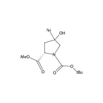 [2H]C1(O)C[C@@H](C(=O)OC)N(C(=O)OC(C)(C)C)C1